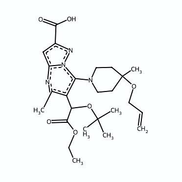 C=CCOC1(C)CCN(c2c(C(OC(C)(C)C)C(=O)OCC)c(C)nc3cc(C(=O)O)nn23)CC1